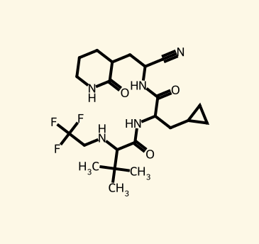 CC(C)(C)C(NCC(F)(F)F)C(=O)NC(CC1CC1)C(=O)NC(C#N)CC1CCCNC1=O